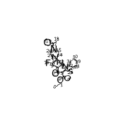 CCOC(=O)c1c(=O)c2cc(F)c(N3CCN(C(C)=O)CC3)nc2n2c1sc1ccccc12